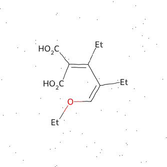 CCOC=C(CC)C(CC)=C(C(=O)O)C(=O)O